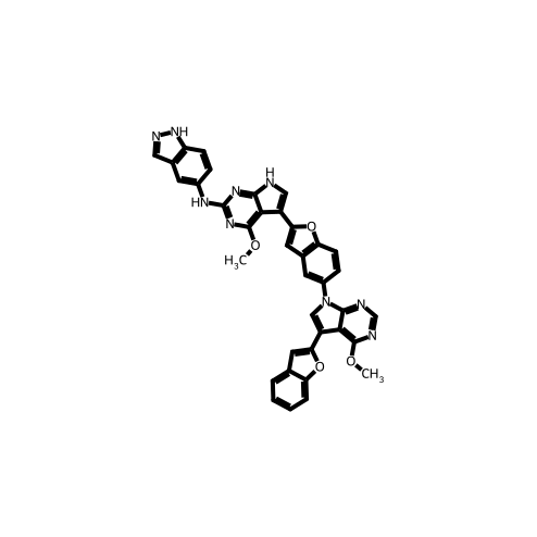 COc1nc(Nc2ccc3[nH]ncc3c2)nc2[nH]cc(-c3cc4cc(-n5cc(-c6cc7ccccc7o6)c6c(OC)ncnc65)ccc4o3)c12